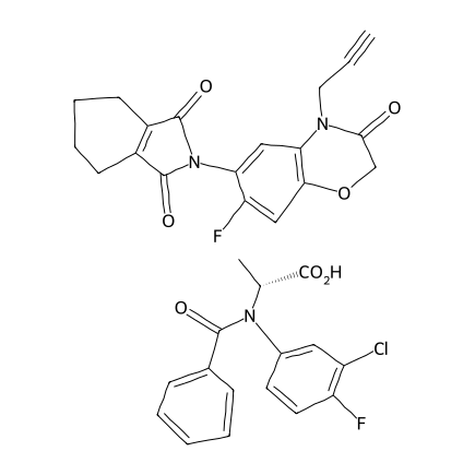 C#CCN1C(=O)COc2cc(F)c(N3C(=O)C4=C(CCCC4)C3=O)cc21.C[C@H](C(=O)O)N(C(=O)c1ccccc1)c1ccc(F)c(Cl)c1